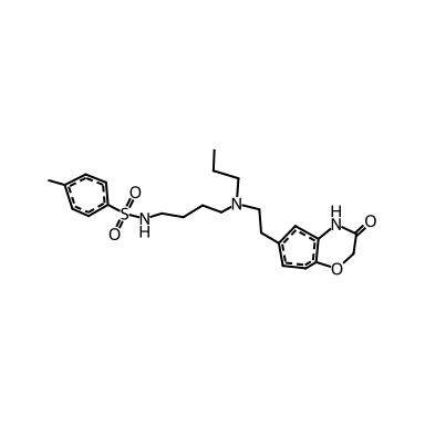 CCCN(CCCCNS(=O)(=O)c1ccc(C)cc1)CCc1ccc2c(c1)NC(=O)CO2